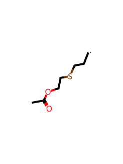 [CH2]CCSCCOC(C)=O